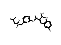 CC(C)CS(=O)(=O)Cc1ccnc(N[C@@H](C)C2=Cc3cc(Cl)ccc3NC2O)n1